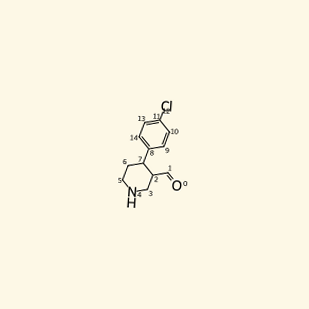 O=CC1CNCCC1c1ccc(Cl)cc1